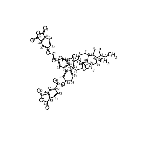 CCC1CCC2C3CCC4C(C)(CCC(c5ccc(OCOc6ccc7c(c6)C(=O)OC7=O)cc5)(c5ccc(OC(=O)c6ccc7c(c6)C(=O)OC7=O)cc5)C4(C)C)C3CCC12C